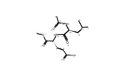 COC(=O)[C@@H](CCC(=O)O)NC(=O)[C@H](CC(C)C)NC(C)=O